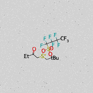 CCC(=O)C[S+](CC(C)(C)C)OS(=O)(=O)C(F)(F)C(F)(F)C(F)(F)C(F)(F)F